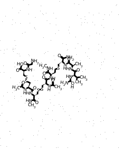 CNC(=O)[C@@H](CSSC[C@@H](NC(C)=O)C(=O)N[C@H](CCSC[C@@H](NC(=O)[C@@H](C)NC(=O)[C@H](NC(N)O)C(C)C)C(N)=O)C(=O)NC)NC(=O)[C@H](CSSC[C@H](NC(=O)CN)C(=O)O)NC(C)=O